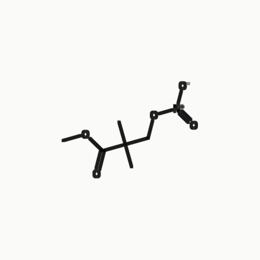 COC(=O)C(C)(C)CO[N+](=O)[O-]